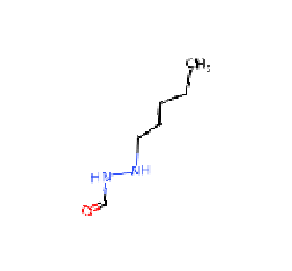 CCCCCNNC=O